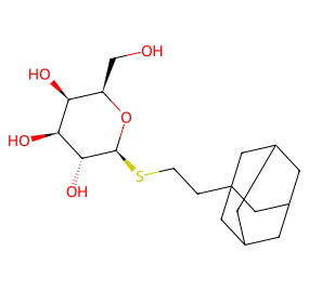 OC[C@H]1O[C@@H](SCCC23CC4CC(CC(C4)C2)C3)[C@H](O)[C@@H](O)[C@H]1O